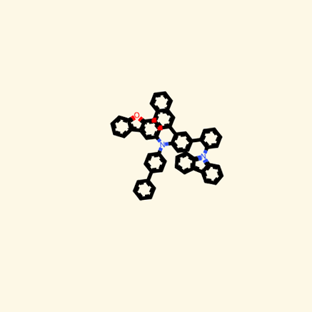 c1ccc(-c2ccc(N(c3ccc4oc5ccccc5c4c3)c3ccc(-c4ccccc4-n4c5ccccc5c5ccccc54)cc3-c3ccc4ccccc4c3)cc2)cc1